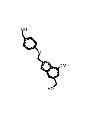 COc1cc(CO)cc2cc(COc3ccc(CO)cc3)oc12